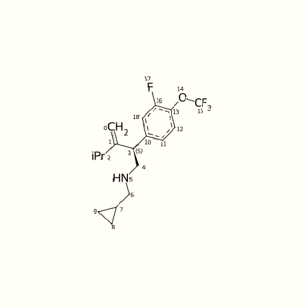 C=C(C(C)C)[C@H](CNCC1CC1)c1ccc(OC(F)(F)F)c(F)c1